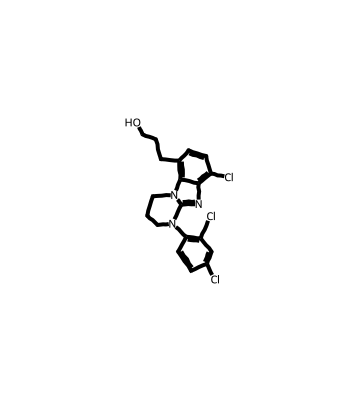 OCCCc1ccc(Cl)c2nc3n(c12)CCCN3c1ccc(Cl)cc1Cl